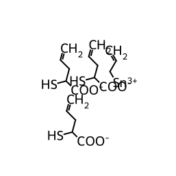 C=CCC(S)C(=O)[O-].C=CCC(S)C(=O)[O-].C=CCC(S)C(=O)[O-].C=C[CH2][Sn+3]